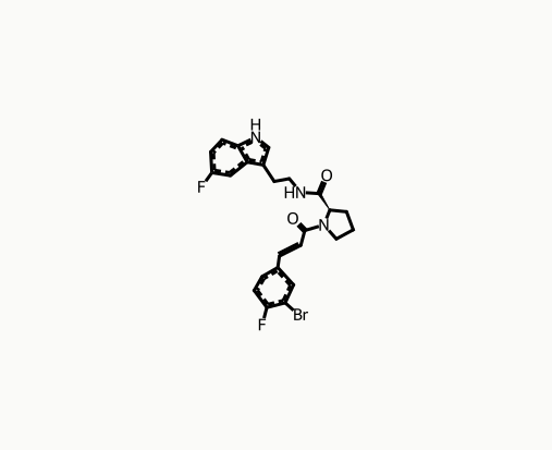 O=C(NCCc1c[nH]c2ccc(F)cc12)[C@H]1CCCN1C(=O)C=Cc1ccc(F)c(Br)c1